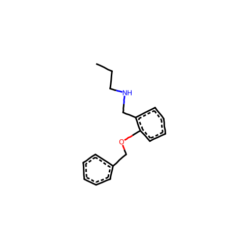 CCCNCc1ccccc1OCc1ccccc1